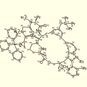 CCn1c(-c2cccnc2C(C)C)c2c3cc(ccc31)-c1cc(cc(O[Si](C(C)C)(C(C)C)C(C)C)c1)C[C@H](NC(=O)[C@H](C(C)C)N(C)C(=O)CN(C)C(=O)C1C[N@@]1C(c1ccccc1)(c1ccccc1)c1ccccc1)C(=O)N1CCC[C@H](N1)C(=O)OCC(C)(C)C2